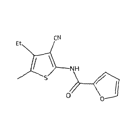 CCc1c(C)sc(NC(=O)c2ccco2)c1C#N